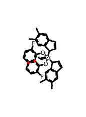 C[CH]=[Zr]([O]c1ccccc1F)([O]c1ccccc1F)([CH]1C=Cc2cc(C)c(C)cc21)[CH]1C=Cc2cc(C)c(C)cc21